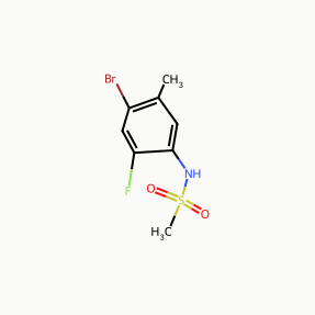 Cc1cc(NS(C)(=O)=O)c(F)cc1Br